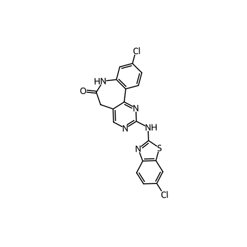 O=C1Cc2cnc(Nc3nc4ccc(Cl)cc4s3)nc2-c2ccc(Cl)cc2N1